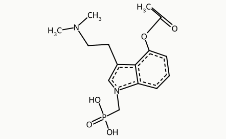 CC(=O)Oc1cccc2c1c(CCN(C)C)cn2CP(=O)(O)O